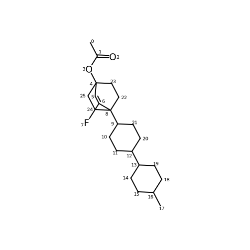 CC(=O)OC12C=C(F)C(C3CCC(C4CCC(C)CC4)CC3)(CC1)CC2